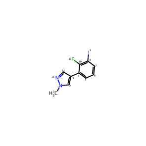 Cn1cc(-c2cccc(I)c2F)cn1